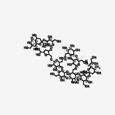 CC(=O)NC1[C@H](O[C@@H]2C(O)[C@H](O[C@@H]3C(CO)O[C@@H](OCC4OC(C(O)O)CC4O[C@@H]4OC(CO)[C@H](O)[C@H](OC5(C(=O)O)CC(O)[C@@H](C)[C@H]([C@H](O)[C@H](O)CO)O5)C4O)C(O)[C@@H]3O)OC(CO)[C@@H]2O)OC(CO[C@@H]2OC(CO)[C@@H](O[C@@H]3OC(CO)[C@H](O)[C@H](O)C3O)[C@H](O)C2O)[C@@H](O[C@@H]2OC(CO)[C@H](O)[C@H](OC3(C(=O)O)CC(O)[C@@H](C)[C@H]([C@H](O)[C@H](O)CO)O3)C2O)[C@@H]1O